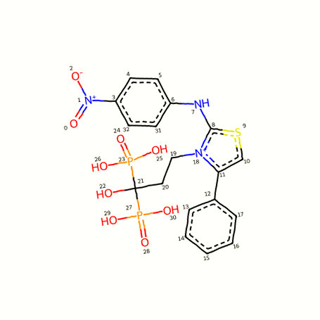 O=[N+]([O-])c1ccc(Nc2scc(-c3ccccc3)[n+]2CCC(O)(P(=O)(O)O)P(=O)(O)O)cc1